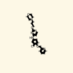 Clc1cc(Nc2ccnc(OCCCN3CCOCC3)n2)ccc1OCc1ccccn1